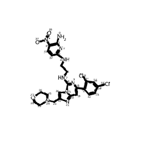 Nc1nc(NCCNc2nc(-c3ccc(Cl)cc3Cl)cc3nc(CN4CCOCC4)cn23)ccc1[N+](=O)[O-]